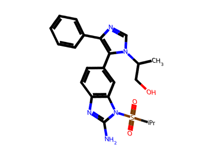 CC(CO)n1cnc(-c2ccccc2)c1-c1ccc2nc(N)n(S(=O)(=O)C(C)C)c2c1